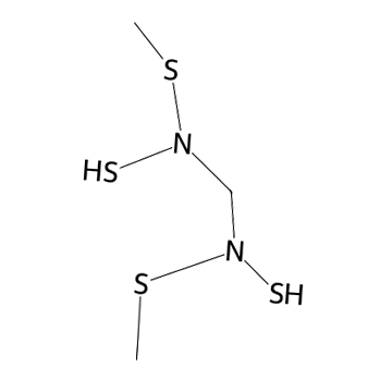 CSN(S)CN(S)SC